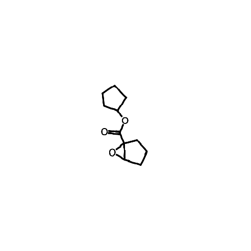 O=C(OC1CCCC1)C12CCCC1O2